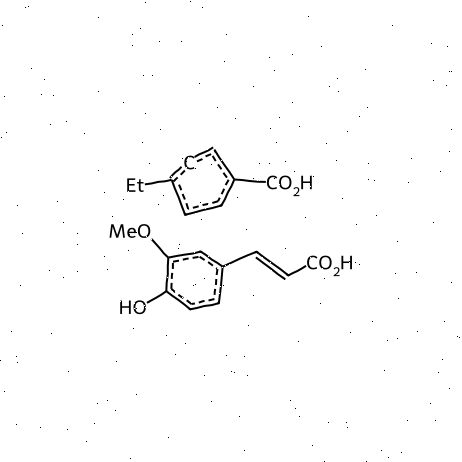 CCc1ccc(C(=O)O)cc1.COc1cc(C=CC(=O)O)ccc1O